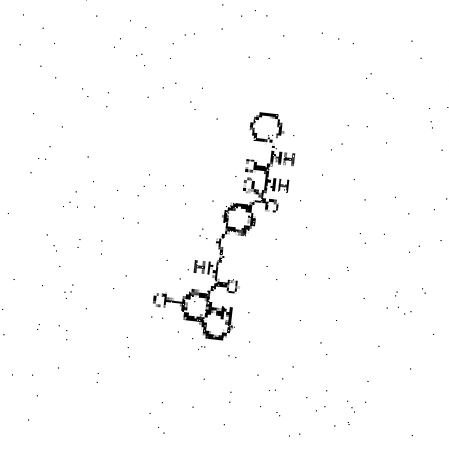 O=C(NN1CCCCC1)NS(=O)(=O)c1ccc(CCNC(=O)c2cc(Cl)cc3cccnc23)cc1